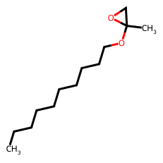 CCCCCCCCCCOC1(C)CO1